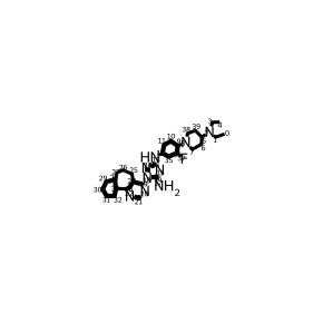 CCN(CC)C1CCN(c2ccc(Nc3nc(N)n(-c4ncnc5c4CCCc4ccccc4-5)n3)cc2F)CC1